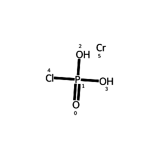 O=P(O)(O)Cl.[Cr]